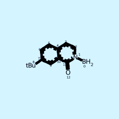 Bn1ccc2ccc(C(C)(C)C)cc2c1=O